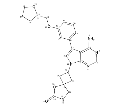 Nc1ncnc2c1c(-c1cccc(OC[C@@H]3CCCO3)c1)cn2C1CC2(CNC(=O)O2)C1